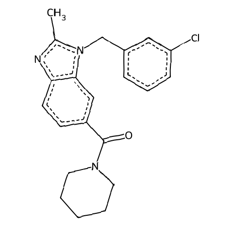 Cc1nc2ccc(C(=O)N3CCCCC3)cc2n1Cc1cccc(Cl)c1